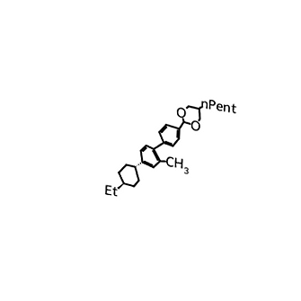 CCCCCC1COC(c2ccc(-c3ccc([C@H]4CC[C@H](CC)CC4)cc3C)cc2)OC1